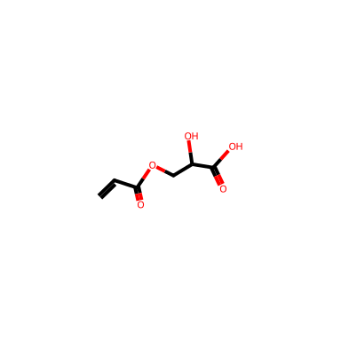 C=CC(=O)OCC(O)C(=O)O